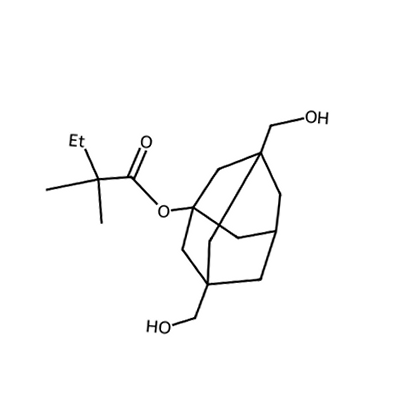 CCC(C)(C)C(=O)OC12CC3CC(CO)(CC(CO)(C3)C1)C2